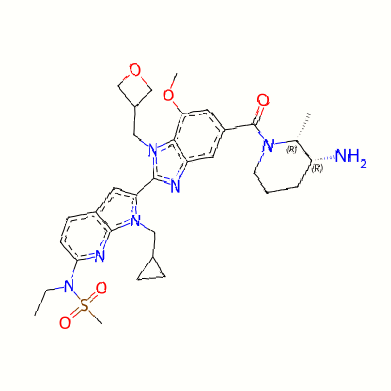 CCN(c1ccc2cc(-c3nc4cc(C(=O)N5CCC[C@@H](N)[C@H]5C)cc(OC)c4n3CC3COC3)n(CC3CC3)c2n1)S(C)(=O)=O